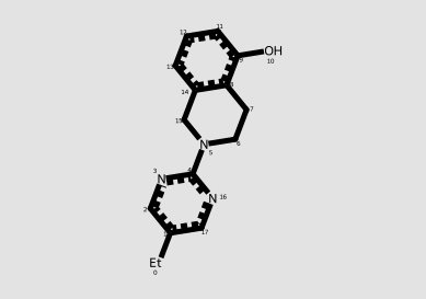 CCc1cnc(N2CCc3c(O)cccc3C2)nc1